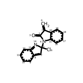 C=C1C(=O)N(C2(Cl)C=c3ccccc3=N2)c2ccccc21